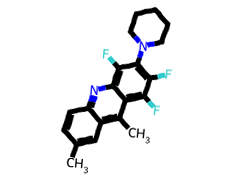 Cc1ccc2nc3c(F)c(N4CCCCC4)c(F)c(F)c3c(C)c2c1